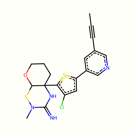 CC#Cc1cncc(-c2cc(Cl)c(C34CCCOC3SN(C)C(=N)N4)s2)c1